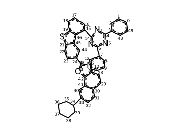 c1ccc(-c2nc(-c3ccccc3)nc(-c3cccc4sc5ccc(-c6nc7ccc8ccc(C9CCCCC9)cc8c7o6)cc5c34)n2)cc1